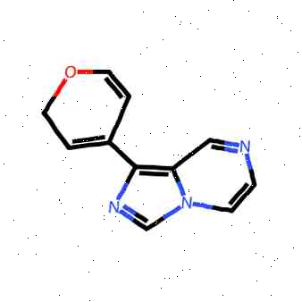 C1=CC(c2ncn3ccncc23)=CCO1